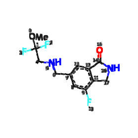 COC(F)(F)CNCc1cc(F)c2c(c1)C(=O)NC2